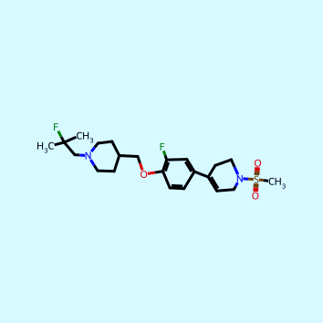 CC(C)(F)CN1CCC(COc2ccc(C3=CCN(S(C)(=O)=O)CC3)cc2F)CC1